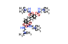 C[C@H](Cc1ccc(OC(=O)NCCN(C)C)c(OC(=O)NCCN(C)C)c1)[C@@H](C)Cc1ccc(OC(=O)NCCN(C)C)c(OC(=O)NCCN(C)C)c1